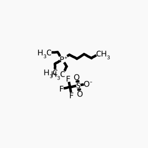 CCCCC[P+](CC)(CC)CC.O=S(=O)([O-])C(F)(F)F